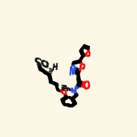 CC(C)N(Cc1ccccc1OCCCCCC(=O)O)C(=O)c1ncc(-c2ccco2)o1